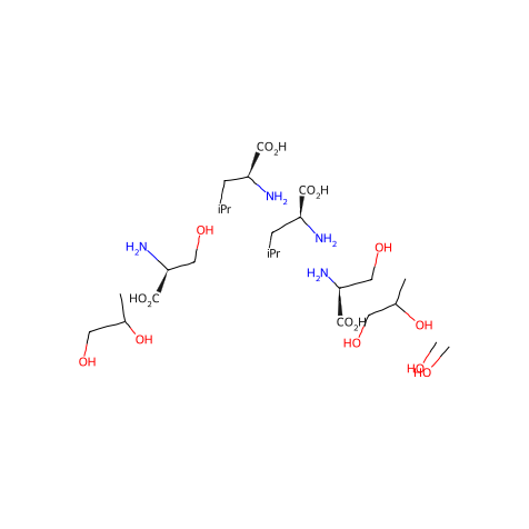 CC(C)C[C@H](N)C(=O)O.CC(C)C[C@H](N)C(=O)O.CC(O)CO.CC(O)CO.CO.CO.N[C@@H](CO)C(=O)O.N[C@@H](CO)C(=O)O